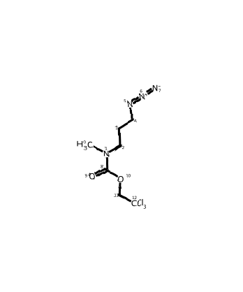 CN(CCCN=[N+]=[N-])C(=O)OCC(Cl)(Cl)Cl